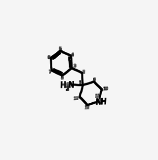 NC1(Cc2ccccc2)CCNCC1